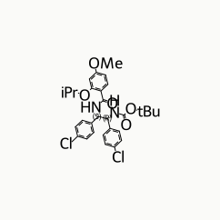 COc1ccc(C(=O)N[C@@H](c2ccc(Cl)cc2)[C@H](NC(=O)OC(C)(C)C)c2ccc(Cl)cc2)c(OC(C)C)c1